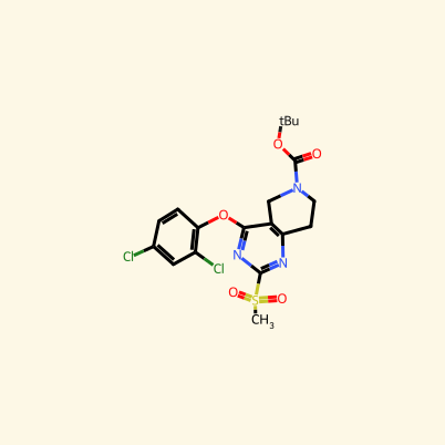 CC(C)(C)OC(=O)N1CCc2nc(S(C)(=O)=O)nc(Oc3ccc(Cl)cc3Cl)c2C1